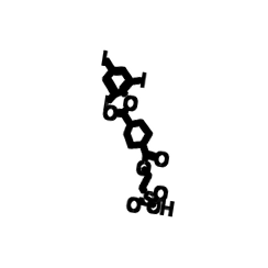 O=C(OCCS(=O)(=O)O)C1CCC(C(=O)Oc2c(I)cc(I)cc2I)CC1